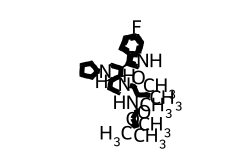 CC(C)(C)OC(=O)N[C@H](C(=O)N1CC[C@@H]2[C@H]1[C@H](c1c[nH]c3cc(F)ccc13)CN2C1CCCC1)C(C)(C)C